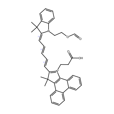 CC1(C)C(/C=C/C=C/C=C2\N(CCOC=O)c3ccccc3C2(C)C)=[N+](CCC(=O)O)c2c1c1ccccc1c1ccccc21